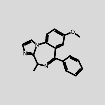 COc1ccc2c(c1)C(c1ccccc1)=NC(C)c1nccn1-2